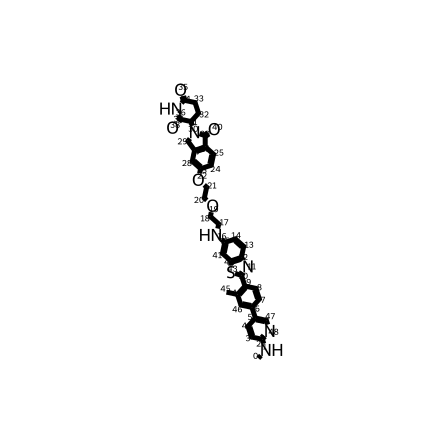 CNc1ccc(-c2ccc(-c3nc4ccc(NCCOCCOc5ccc6c(c5)CN(C5CCC(=O)NC5=O)C6=O)cc4s3)c(C)c2)cn1